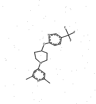 Cc1cc(N2CCC(Oc3ccc(C(F)(F)F)cn3)CC2)cc(C)n1